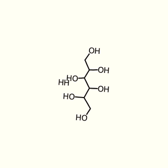 OCC(O)C(O)C(O)C(O)CO.[HH]